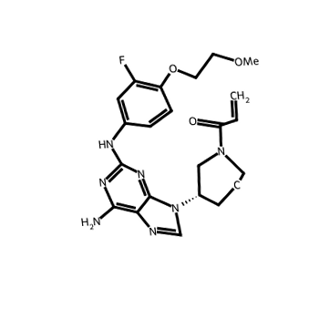 C=CC(=O)N1CCC[C@H](n2cnc3c(N)nc(Nc4ccc(OCCOC)c(F)c4)nc32)C1